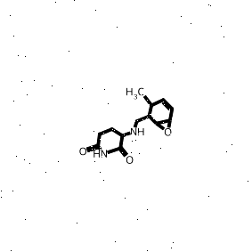 CC1C=CC2OC2C1CNC1CCC(=O)NC1=O